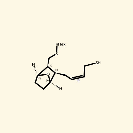 CCCCCCSC[C@H]1[C@@H](C/C=C\CS)[C@H]2CC[C@@H]1O2